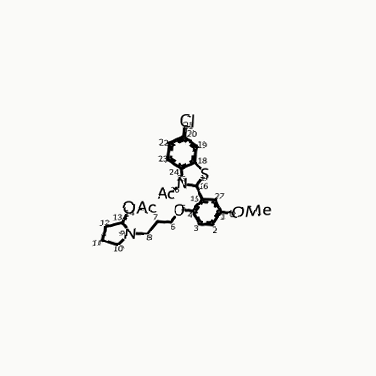 COc1ccc(OCCCN2CCCC2OC(C)=O)c(C2Sc3cc(Cl)ccc3N2C(C)=O)c1